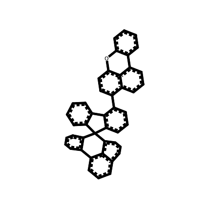 c1ccc2c(c1)Oc1ccc(-c3cccc4c3-c3ccccc3C43c4ccccc4-c4cccc5cccc3c45)c3cccc-2c13